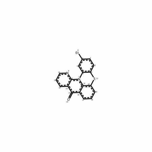 CCc1ccc2c(c1)-n1c3ncccc3c(=O)c3cccc(c31)S2